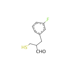 O=CC(CS)Cc1cccc(F)c1